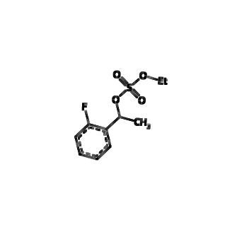 CCOS(=O)(=O)OC(C)c1ccccc1F